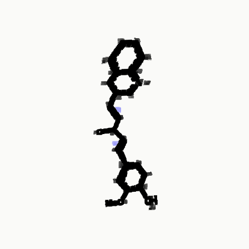 COc1cc(/C=C/C(=O)/C=C/c2cnc3ccccc3c2)ccc1O